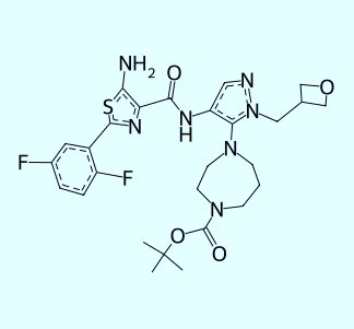 CC(C)(C)OC(=O)N1CCCN(c2c(NC(=O)c3nc(-c4cc(F)ccc4F)sc3N)cnn2CC2COC2)CC1